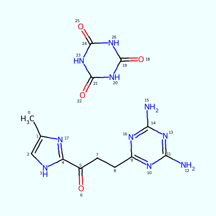 Cc1c[nH]c(C(=O)CCc2nc(N)nc(N)n2)n1.O=c1[nH]c(=O)[nH]c(=O)[nH]1